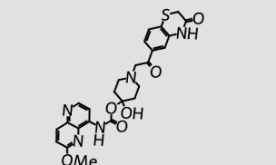 COc1ccc2nccc(NC(=O)OC3(O)CCN(CC(=O)c4ccc5c(c4)NC(=O)CS5)CC3)c2n1